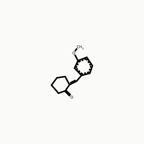 COc1cccc(C=C2CCCCC2=O)c1